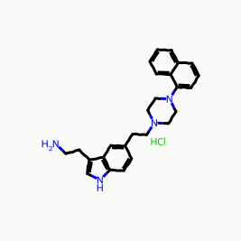 Cl.NCCc1c[nH]c2ccc(CCN3CCN(c4cccc5ccccc45)CC3)cc12